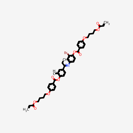 C=CC(=O)OCCCCOc1ccc(C(=O)Oc2ccc(/C(CC)=N/c3ccc(OC(=O)c4ccc(OCCCCOC(=O)C=C)cc4)c(Br)c3)cc2C)cc1